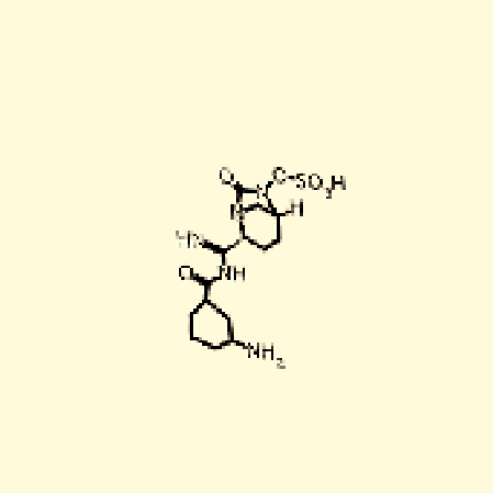 N=C(NC(=O)C1CCCC(N)C1)[C@@H]1CC[C@@H]2CN1C(=O)N2OS(=O)(=O)O